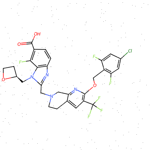 O=C(O)c1ccc2nc(CN3CCc4cc(C(F)(F)F)c(OCc5c(F)cc(Cl)cc5F)nc4C3)n(C[C@@H]3CCO3)c2c1F